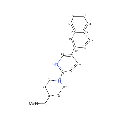 CNCC1CCN(c2ccc(-c3ccc4ccccc4c3)cn2)CC1